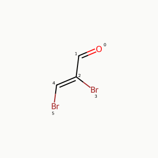 O=CC(Br)=CBr